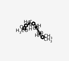 Cc1ccc(NC(=O)OCCOC(=O)Nc2ccc(C)c(NC(=O)c3ccc4c(c3)C(=O)N(C)C4=O)c2)cc1C